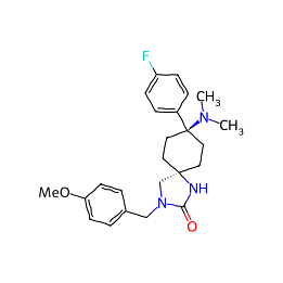 COc1ccc(CN2C[C@]3(CC[C@](c4ccc(F)cc4)(N(C)C)CC3)NC2=O)cc1